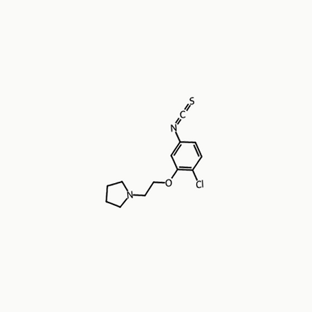 S=C=Nc1ccc(Cl)c(OCCN2CCCC2)c1